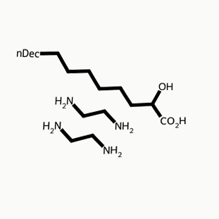 CCCCCCCCCCCCCCCCC(O)C(=O)O.NCCN.NCCN